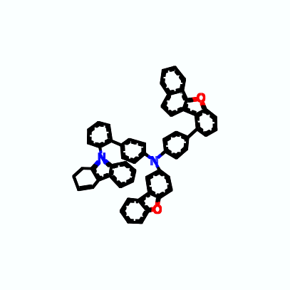 C1=Cc2c(n(-c3ccccc3-c3ccc(N(c4ccc(-c5cccc6oc7c8ccccc8ccc7c56)cc4)c4ccc5oc6ccccc6c5c4)cc3)c3ccccc23)CC1